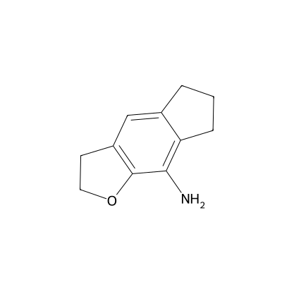 Nc1c2c(cc3c1OCC3)CCC2